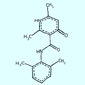 Cc1cc(=O)c(C(=O)Nc2c(C)cccc2C)c(C)[nH]1